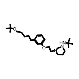 CC(C)(C)NN1CCCN(CCOc2cccc(CCCCCOC(C)(C)C)c2)C1